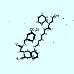 CCOC(=O)c1cccc(COC(=O)CN2Cc3c(cccc3OCCCCCCC(=O)N(CCO)C3CCCCC3)N=C2N)c1